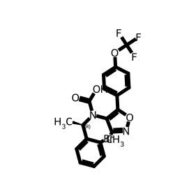 Cc1noc(-c2ccc(OC(F)(F)F)cc2)c1N(C(=O)O)[C@H](C)c1ccccc1Br